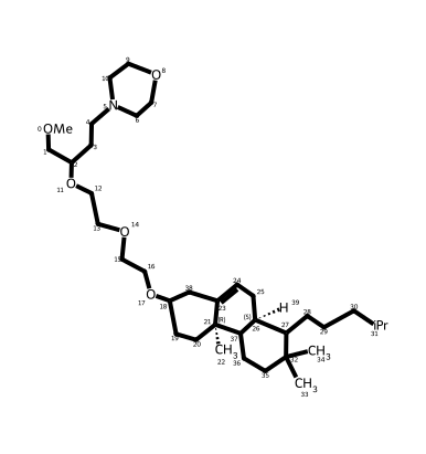 COCC(CCN1CCOCC1)OCCOCCOC1CC[C@@]2(C)C(=CC[C@H]3C(CCCC(C)C)C(C)(C)CCC32)C1